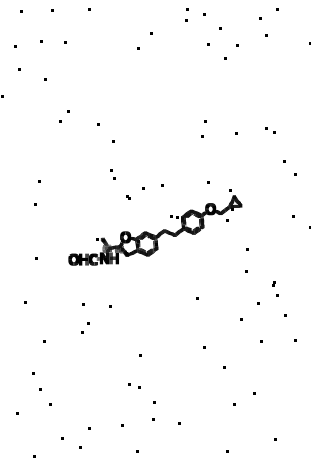 C[C@H](NC=O)[C@@H]1Cc2ccc(CCc3ccc(OCC4CC4)cc3)cc2O1